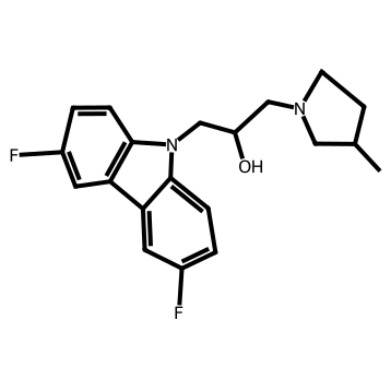 CC1CCN(CC(O)Cn2c3ccc(F)cc3c3cc(F)ccc32)C1